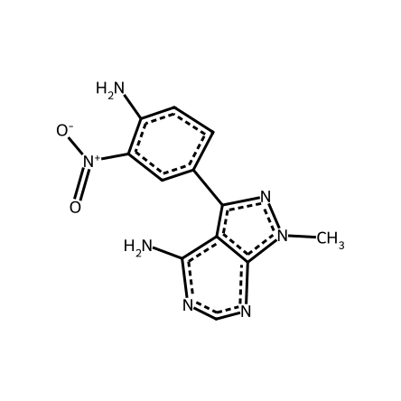 Cn1nc(-c2ccc(N)c([N+](=O)[O-])c2)c2c(N)ncnc21